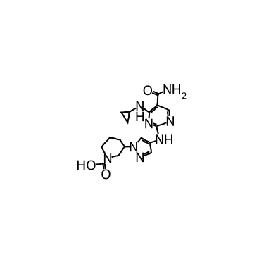 NC(=O)c1cnc(Nc2cnn(C3CCCN(C(=O)O)C3)c2)nc1NC1CC1